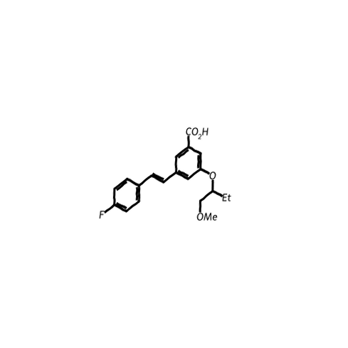 CCC(COC)Oc1cc(C=Cc2ccc(F)cc2)cc(C(=O)O)c1